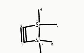 C[Si]1(C)C#C[Si]1(C)C